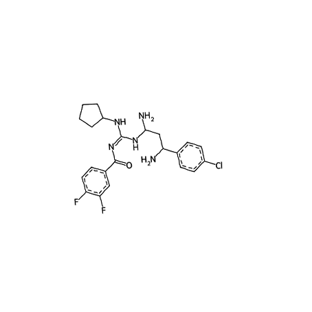 NC(CC(N)c1ccc(Cl)cc1)N/C(=N\C(=O)c1ccc(F)c(F)c1)NC1CCCC1